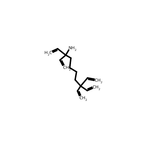 C=CC(N)(C=C)CCCCC(C=C)(C=C)C=C